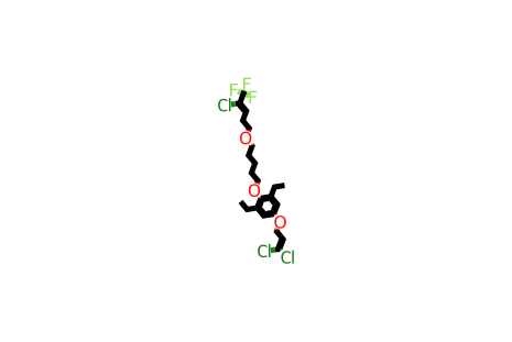 CCc1cc(OCC=C(Cl)Cl)cc(CC)c1OCCCCCOCCC=C(Cl)C(F)(F)F